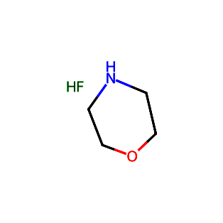 C1COCCN1.F